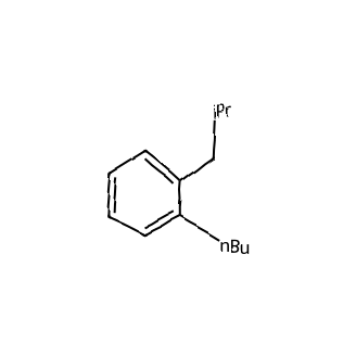 [CH2]CCCc1ccccc1CC(C)C